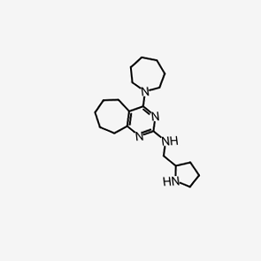 C1CCc2nc(NCC3CCCN3)nc(N3CCCCCC3)c2CC1